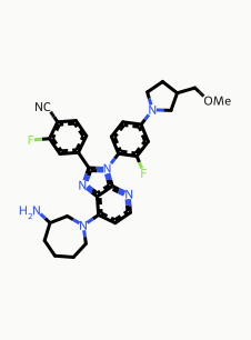 COCC1CCN(c2ccc(-n3c(-c4ccc(C#N)c(F)c4)nc4c(N5CCCCC(N)C5)ccnc43)c(F)c2)C1